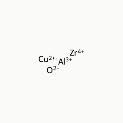 [Al+3].[Cu+2].[O-2].[Zr+4]